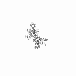 CC[C@H](C)[C@@H]([C@@H](CC(=O)N1CCC[C@H]1[C@H](OC)[C@@H](C)C(=O)N[C@H](C)[C@@H](N=O)c1ccccc1)OC)N(C)C(=O)CC(C)C